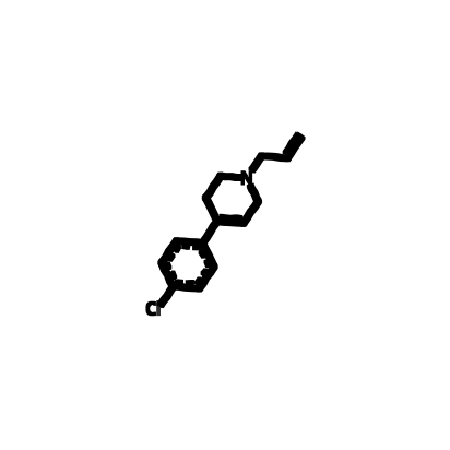 C=CCN1CC=C(c2ccc(Cl)cc2)CC1